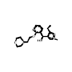 CCc1nn(C)cc1C(O)c1cccnc1OCCN1CCOCC1